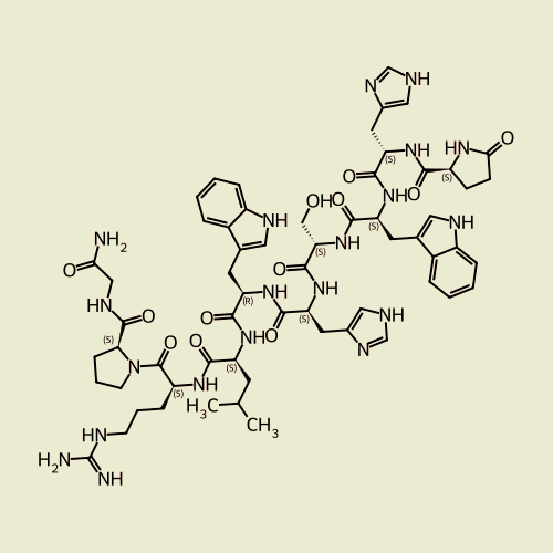 CC(C)C[C@H](NC(=O)[C@@H](Cc1c[nH]c2ccccc12)NC(=O)[C@H](Cc1c[nH]cn1)NC(=O)[C@H](CO)NC(=O)[C@H](Cc1c[nH]c2ccccc12)NC(=O)[C@H](Cc1c[nH]cn1)NC(=O)[C@@H]1CCC(=O)N1)C(=O)N[C@@H](CCCNC(=N)N)C(=O)N1CCC[C@H]1C(=O)NCC(N)=O